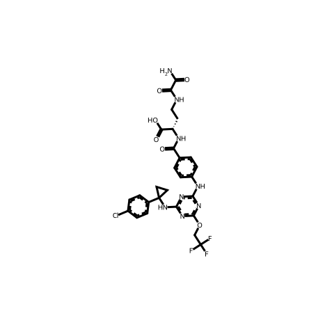 NC(=O)C(=O)NCC[C@H](NC(=O)c1ccc(Nc2nc(NC3(c4ccc(Cl)cc4)CC3)nc(OCC(F)(F)F)n2)cc1)C(=O)O